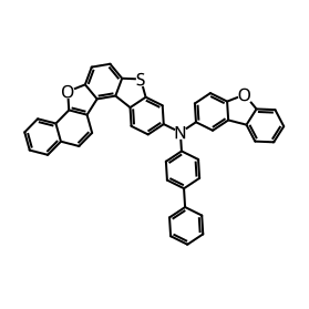 c1ccc(-c2ccc(N(c3ccc4c(c3)sc3ccc5oc6c7ccccc7ccc6c5c34)c3ccc4oc5ccccc5c4c3)cc2)cc1